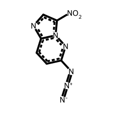 [N-]=[N+]=Nc1ccc2ncc([N+](=O)[O-])n2n1